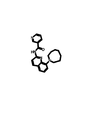 O=C(Nc1ccc2cccc(N3CCCCCCC3)c2n1)c1cccnc1